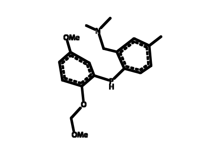 COCOc1ccc(OC)cc1Pc1ccc(C)cc1CN(C)C